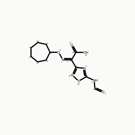 O=CNc1nc(/C(=N/OC2CCCCCC2)C(=O)O)ns1